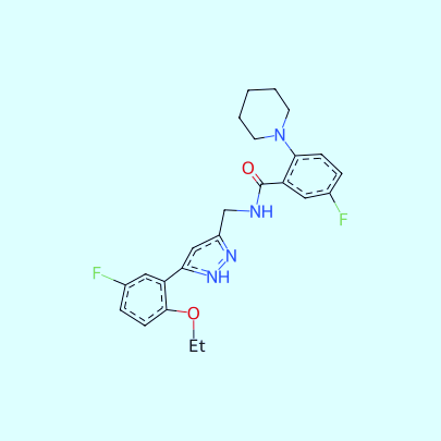 CCOc1ccc(F)cc1-c1cc(CNC(=O)c2cc(F)ccc2N2CCCCC2)n[nH]1